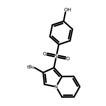 CC(C)(C)c1cn2ccccc2c1S(=O)(=O)c1ccc(O)cc1